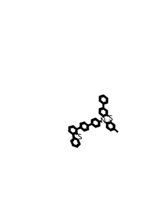 Cc1ccc2c(c1)Sc1cc(-c3ccccc3)ccc1N2c1ccc(-c2ccc(-c3cccc4c3sc3ccccc34)cc2)cc1